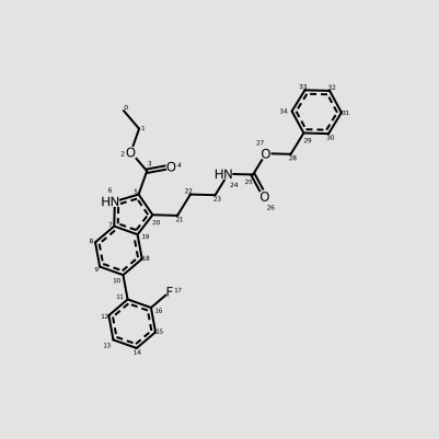 CCOC(=O)c1[nH]c2ccc(-c3ccccc3F)cc2c1CCCNC(=O)OCc1ccccc1